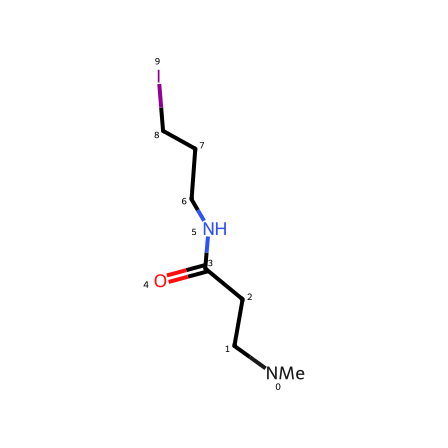 CNCCC(=O)NCCCI